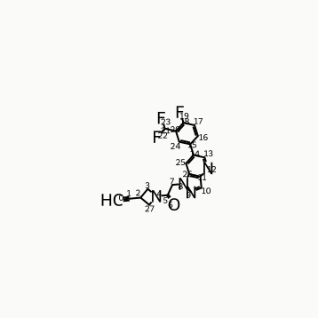 C#CC1CN(C(=O)Cn2ncc3ncc(-c4ccc(F)c(C(F)F)c4)cc32)C1